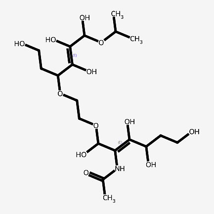 CC(=O)N/C(=C(/O)C(O)CCO)C(O)OCCOC(CCO)/C(O)=C(\O)C(O)OC(C)C